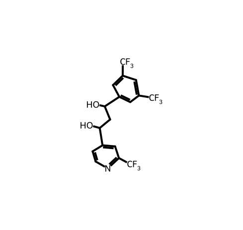 OC(CC(O)c1ccnc(C(F)(F)F)c1)c1cc(C(F)(F)F)cc(C(F)(F)F)c1